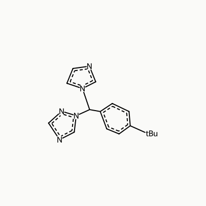 CC(C)(C)c1ccc(C(n2ccnc2)n2cncn2)cc1